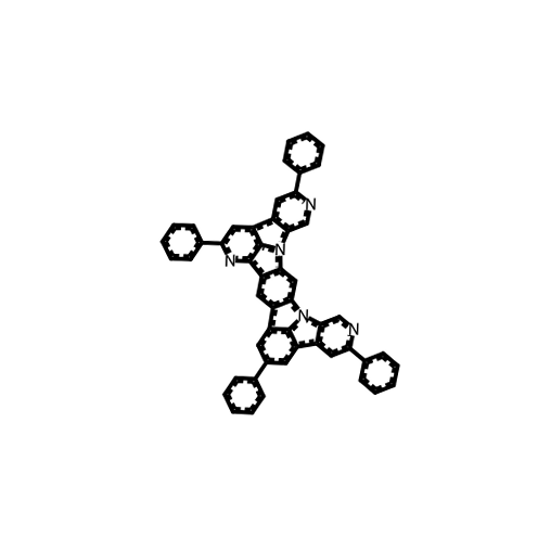 c1ccc(-c2cc3c4cc(-c5ccccc5)ncc4n4c5cc6c(cc5c(c2)c34)c2nc(-c3ccccc3)cc3c4cc(-c5ccccc5)ncc4n6c32)cc1